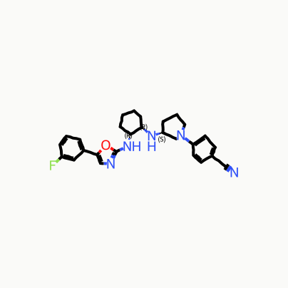 N#Cc1ccc(N2CCC[C@H](N[C@@H]3CCCC[C@H]3Nc3ncc(-c4cccc(F)c4)o3)C2)cc1